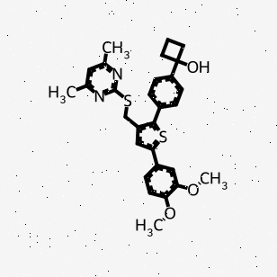 COc1ccc(-c2cc(CSc3nc(C)cc(C)n3)c(-c3ccc(C4(O)CCC4)cc3)s2)cc1OC